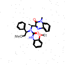 CCOc1ccccc1NC(=O)N(C(COC)c1ccccc1)[C@@H](C)c1nc2ccccc2n(C)c1=O